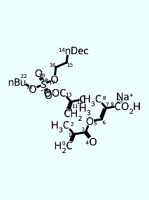 C=C(C)C(=O)OC=C(C)C(=O)O.C=C(C)C(=O)[O-].CCCCCCCCCCCCOS(=O)(=O)OCCCC.[Na+]